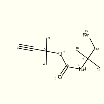 C#CC(C)(C)OC(=O)NC(C)(C)CC(C)C